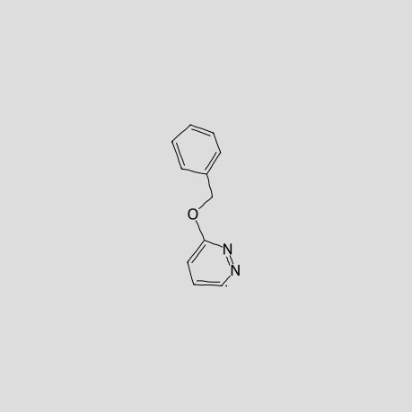 [c]1ccc(OCc2ccccc2)nn1